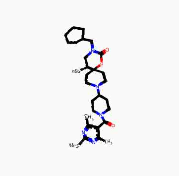 CCCCC1CN(CC2CCCCC2)C(=O)OC12CCN(C1CCN(C(=O)c3c(C)nc(SC)nc3C)CC1)CC2